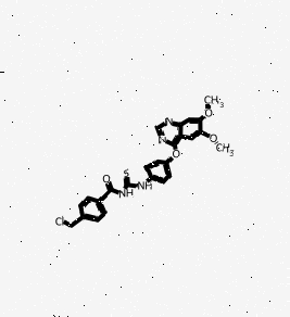 COc1cc2ncnc(Oc3ccc(NC(=S)NC(=O)c4ccc(CCl)cc4)cc3)c2cc1OC